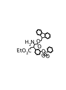 CCOC(=O)CC(c1cccc(OS(=O)(=O)c2ccccc2)c1)C(N)C(=O)OCC1c2ccccc2-c2ccccc21